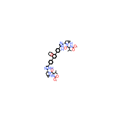 COC(=O)N[C@H](C(=O)N1C2CC2C[C@H]1c1ncc(-c2ccc(-c3ccc(-c4ccc(-c5cnc([C@@H]6CC7CC7N6C(=O)[C@@H](NC(=O)OC)C(C)C)[nH]5)cc4)c4c3C3CCC4O3)cc2)[nH]1)C(C)C